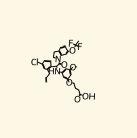 CCCc1cc(Cl)ccc1C(Nc1cc(OC)cc(OCCCC(=O)O)c1)C(=O)N1CCc2ccc(OC(C)(F)F)cc21